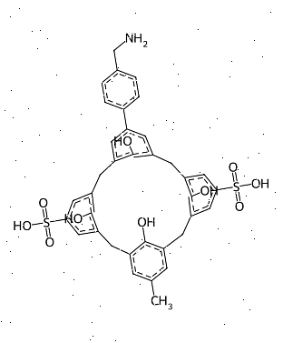 Cc1cc2c(O)c(c1)Cc1cc(S(=O)(=O)O)cc(c1O)Cc1cc(-c3ccc(CN)cc3)cc(c1O)Cc1cc(S(=O)(=O)O)cc(c1O)C2